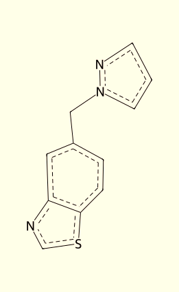 c1cnn(Cc2ccc3scnc3c2)c1